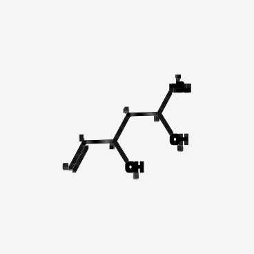 C=CC(O)CC(O)CCCC